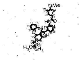 COc1ccc(C(=O)Nc2cc(-c3[nH]c4c(c3Nc3ccccc3)C(=O)CN(S(=O)(=O)N(C)C)C4)ccn2)cc1F